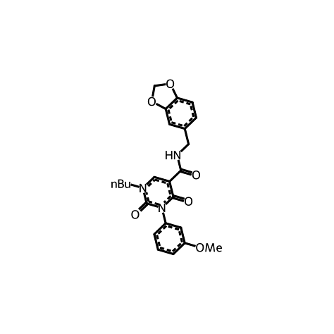 CCCCn1cc(C(=O)NCc2ccc3c(c2)OCO3)c(=O)n(-c2cccc(OC)c2)c1=O